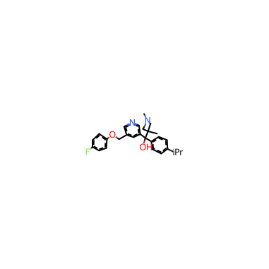 CC(C)c1ccc(C(O)(c2cncc(COc3ccc(F)cc3)c2)C2(C)CN(C)C2)cc1